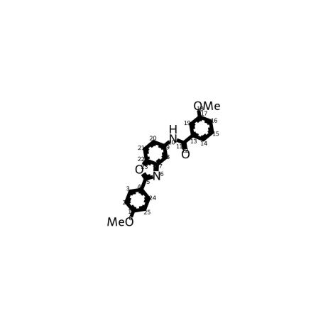 COc1ccc(-c2nc3cc(NC(=O)c4cccc(OC)c4)ccc3o2)cc1